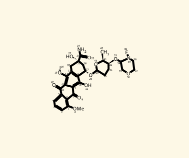 COc1cccc2c1C(=O)c1c(O)c3c(c(OI)c1C2=O)C[C@@](O)(C(N)=O)C[C@@H]3OC1CC[C@H](OC2COCCN2F)[C@H](C)O1